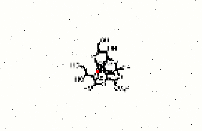 COC12OC(CO)[C@@H](O)C(OC(O)(O)OC(C(=O)O)[C@H](C)OC(O)[C@H](O)C(O)CO)[C@@H]1N2C(C)=O